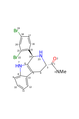 CNC(=O)[C@@H]1Cc2c([nH]c3ccccc23)[C@@H](c2ccc(Br)cc2Br)N1